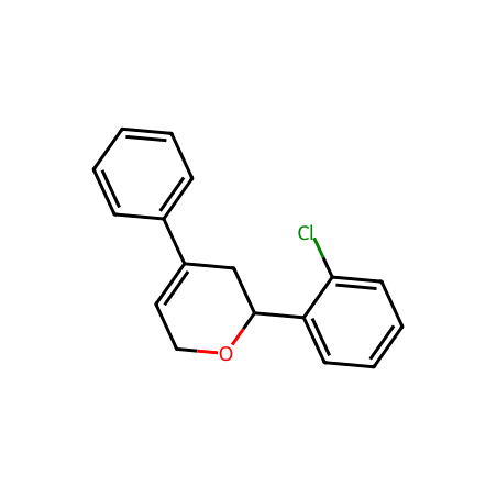 Clc1ccccc1C1CC(c2ccccc2)=CCO1